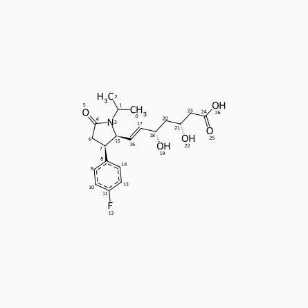 CC(C)N1C(=O)C[C@H](c2ccc(F)cc2)[C@@H]1C=C[C@@H](O)C[C@@H](O)CC(=O)O